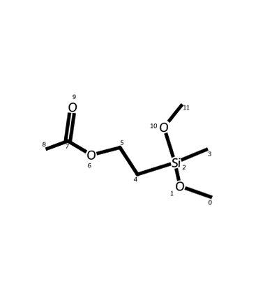 CO[Si](C)(CCOC(C)=O)OC